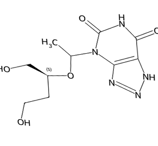 CC(O[C@H](CO)CCO)n1c(=O)[nH]c(=O)c2[nH]nnc21